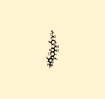 CCOC(=O)C[C@@H]1CCN(C(=O)c2cnc(Cl)c(Cc3cc4c(C)cc(C(F)(F)F)nc4n3C)c2Cl)CC1C